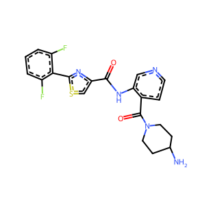 NC1CCN(C(=O)c2ccncc2NC(=O)c2csc(-c3c(F)cccc3F)n2)CC1